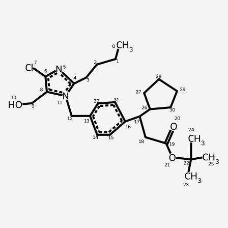 CCCCc1nc(Cl)c(CO)n1Cc1ccc(C(CC(=O)OC(C)(C)C)C2CCCC2)cc1